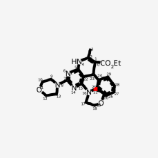 CCOC(=O)C1=C(C)Nc2nc(N3CCOCC3)nc(N3CCOCC3)c2C1c1ccccc1